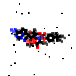 COC(=O)[C@H](C)NP(=O)(Oc1ccc(C(C)(C)C)cc1)OC1[C@H]2O[C@@](C#N)(c3ccc4c(N)ncnn34)[C@H](O)[C@@]12O